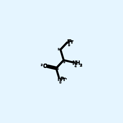 CC[CH]C(=O)C(N)CC(C)C